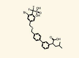 CC(C)CC(C(=O)O)c1cccc(-c2ccc(CSCc3ccc(C(F)(F)P(=O)(O)O)c(Br)c3)cc2)c1